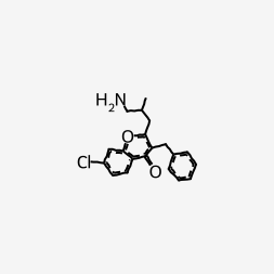 CC(CN)Cc1oc2cc(Cl)ccc2c(=O)c1Cc1ccccc1